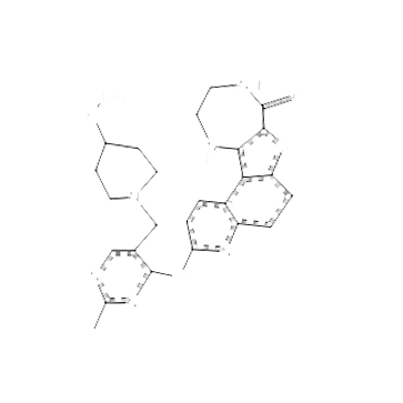 Cc1ncc(CN2CCC(OC(C)(C)C)CC2)c(Oc2ccc3c(ccc4sc5c(c43)NCCNC5=O)n2)n1